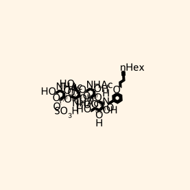 CCCCCCC#CCCCOc1cccc(C(=O)N[C@@H]2C(O[C@H]3C(O)C(NC(C)=O)C(OC4C(CO)O[C@@H](O[C@H]5C(O)C(NC(C)=O)C(O)O[C@H]5COS(=O)(=O)O)[C@@H](NC(C)=O)[C@H]4O)O[C@H]3CO)OC(CO)[C@@H](O)[C@@H]2O)c1